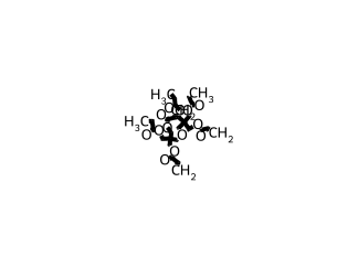 C=CC(=O)OCC(COCC(COC(=O)C=C)(COC(=O)CC)COC(=O)CC)(COC(=O)C=C)COC(=O)CC